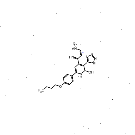 CCN/C=C\C(=N)C1=C(c2nnn[nH]2)C(O)NC(c2ccc(OCCCC(F)(F)F)cc2)=C1